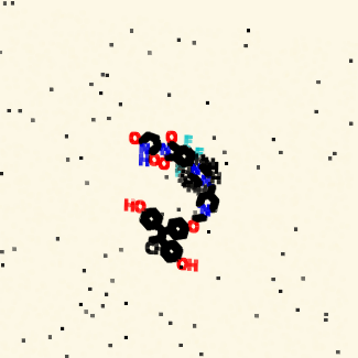 [2H]C1([2H])N(CC2CCN(CCOc3ccc(C(=C(CC)c4ccc(O)cc4)c4ccc(O)cc4)cc3)CC2)C([2H])([2H])C([2H])([2H])N(c2c(F)c(F)c3c(c2F)C(=O)N(C2CCC(=O)NC2=O)C3=O)C1([2H])[2H]